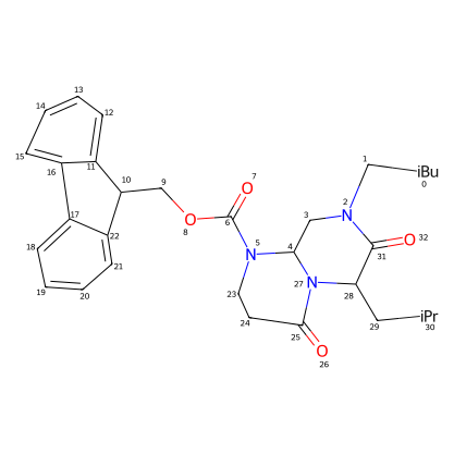 CCC(C)CN1CC2N(C(=O)OCC3c4ccccc4-c4ccccc43)CCC(=O)N2C(CC(C)C)C1=O